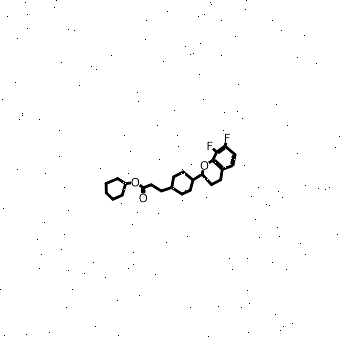 O=C(CCC1CCC(C2CCc3ccc(F)c(F)c3O2)CC1)OC1CCCCC1